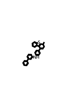 CC1CC=C(c2ccc(Nc3cccc(-c4ccccc4)c3)cc2)c2c1sc1ccccc21